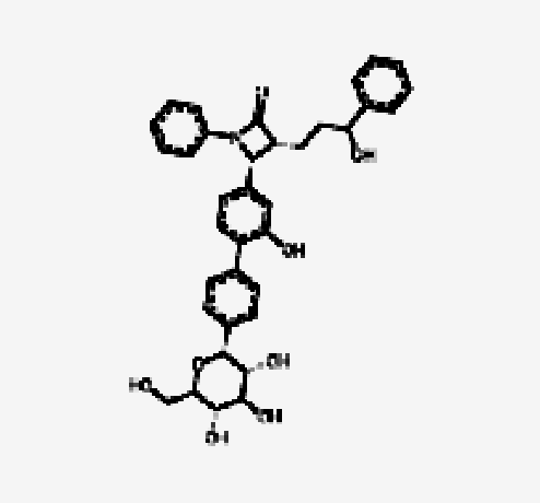 O=C1[C@H](CC[C@H](O)c2ccccc2)[C@@H](c2ccc(-c3ccc([C@@H]4O[C@H](CO)[C@@H](O)[C@H](O)[C@H]4O)cc3)c(O)c2)N1c1ccccc1